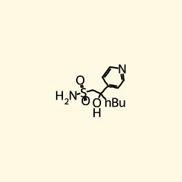 CCCCC(O)(CS(N)(=O)=O)c1ccncc1